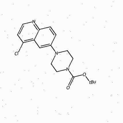 CC(C)(C)OC(=O)N1CCN(c2ccc3nccc(Cl)c3c2)CC1